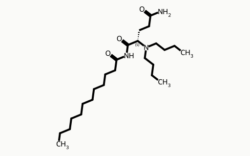 CCCCCCCCCCCC(=O)NC(=O)[C@H](CCC(N)=O)N(CCCC)CCCC